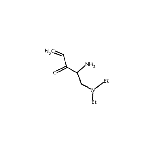 C=CC(=O)C(N)CN(CC)CC